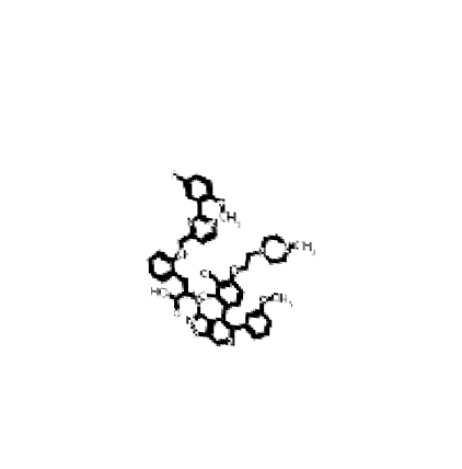 COc1cccc(-c2ncc3snc(OC(Cc4ccccc4OCc4ccnc(-c5cc(F)ccc5OC)n4)C(=O)O)c3c2-c2ccc(OCCN3CCN(C)CC3)c(Cl)c2C)c1